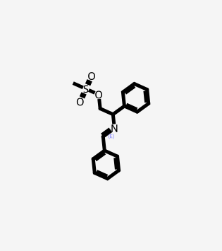 CS(=O)(=O)OCC(/N=C/c1ccccc1)c1ccccc1